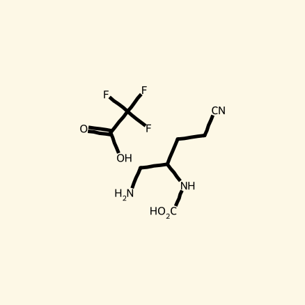 N#CCCC(CN)NC(=O)O.O=C(O)C(F)(F)F